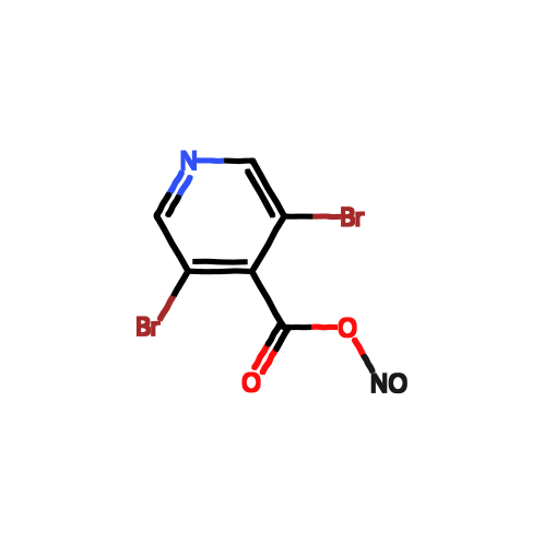 O=NOC(=O)c1c(Br)cncc1Br